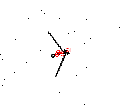 CCCCCCCCCCCCCCCCCCc1c(C)c(O)c(C(C)(C)C)c(CCCCCCCCCCCCCCCCCC)c1OC(=O)CC(=O)OCc1ccccc1